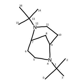 CC(C)(C)N1CCC2CC1CCN2C(C)(C)C